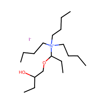 CCCC[N+](CCCC)(CCCC)C(CC)OCC(O)CC.[I-]